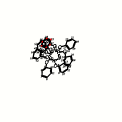 c1ccc(ON2P(Oc3ccccc3)N=P(Oc3ccccc3)(Oc3ccccc3)N(Oc3ccccc3)P2(Oc2ccccc2)(Oc2ccccc2)Oc2ccccc2)cc1